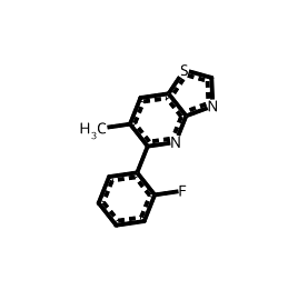 Cc1cc2scnc2nc1-c1ccccc1F